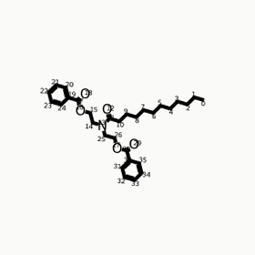 CCCCCCCCCCCC(=O)N(CCOC(=O)c1ccccc1)CCOC(=O)c1ccccc1